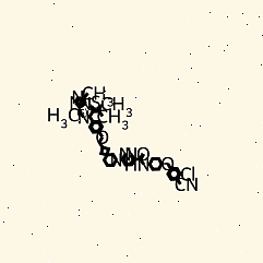 Cc1sc2c(c1C)C(c1ccc(OCC3CC4(CCCN(c5ccc(C(=O)N[C@H]6CC[C@H](Oc7ccc(C#N)c(Cl)c7)CC6)nn5)C4)C3)cc1)=N[C@@H](C)c1nnc(C)n1-2